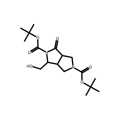 CC(C)(C)OC(=O)N1CC2C(=O)N(C(=O)OC(C)(C)C)C(CO)C2C1